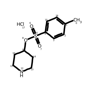 Cc1ccc(S(=O)(=O)OC2CCNCC2)cc1.Cl